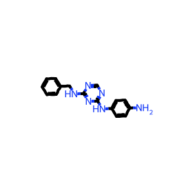 Nc1ccc(Nc2ncnc(NCc3ccccc3)n2)cc1